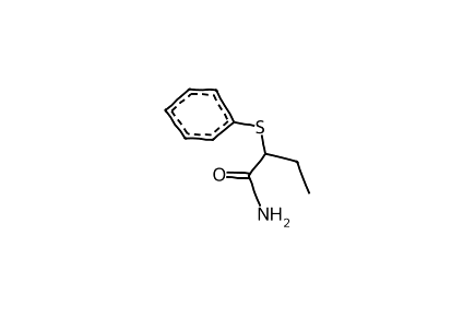 CCC(Sc1ccccc1)C(N)=O